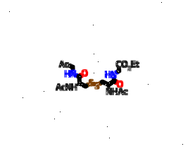 CCOC(=O)CNC(=O)[C@H](CSSC[C@H](NC(C)=O)C(=O)NCC(C)=O)NC(C)=O